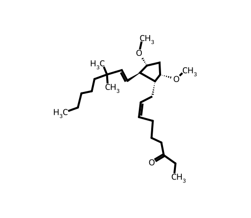 CCCCCC(C)(C)/C=C/[C@@H]1[C@@H](C/C=C\CCCC(=O)CC)[C@@H](OC)C[C@H]1OC